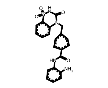 Nc1ccccc1NC(=O)c1ccc(CN2C(=O)NS(=O)(=O)c3ccccc32)cc1